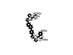 COC(=O)N[C@@H](C(=O)N1CCC[C@H]1c1ncc(-c2ccc(-c3ccc4cc(-c5cnc([C@@H]6CCCN6C(=O)[C@@H](NC(O)OC)C(C)C)[nH]5)ccc4c3)cc2)[nH]1)c1ccc(OC)cc1